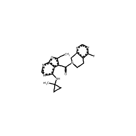 Cc1oc2ncnc(NC3(C)CC3)c2c1C(=O)N1CCc2c(F)ncnc2C1